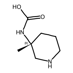 C[C@@]1(NC(=O)O)CCCNC1